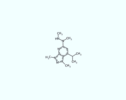 CNN(C)c1cc(C(C)C)c2c(C)nn(C)c2n1